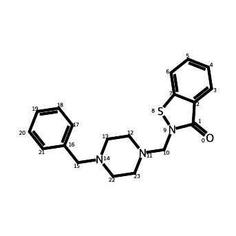 O=c1c2ccccc2sn1CN1CCN(Cc2ccccc2)CC1